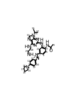 CC(=O)Nc1ccc(/N=N/c2ccc(N3CCCC3)cc2)cc1Nc1nc(NCCN)c2ncn(C(C)C)c2n1